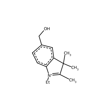 CC[N+]1=C(C)C(C)(C)c2cc(CO)ccc21